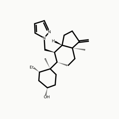 C=C1CC[C@H]2[C@H](Cn3cccn3)[C@@H]([C@@]3(C)CC[C@H](O)C[C@@H]3CC)CC[C@]12C